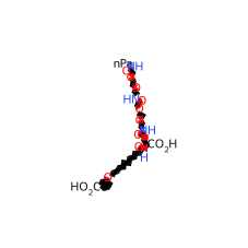 CCCNC(=O)COCCOCCNC(=O)COCCOCCNC(=O)CC[C@H](NC(=O)CCCCCCCCCCCOc1cccc(C(=O)O)c1)C(=O)O